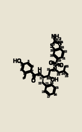 Cc1cc(O)ccc1C(=O)N[C@@H](Cc1ccccc1)[C@@H](O)CN(CC(C)C)S(=O)(=O)c1ccc2nc(N)sc2c1